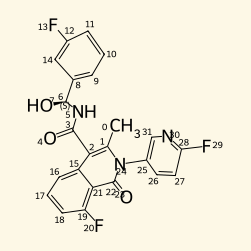 Cc1c(C(=O)N[C@@H](O)c2cccc(F)c2)c2cccc(F)c2c(=O)n1-c1ccc(F)nc1